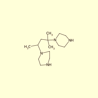 CC(CC(C)(C)N1CCNCC1)N1CCNCC1